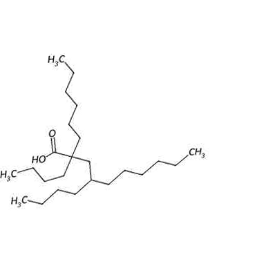 CCCCCCC(CCCC)CC(CCCC)(CCCCCC)C(=O)O